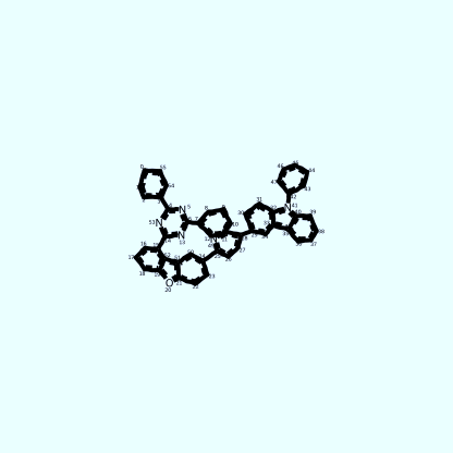 c1ccc(-c2nc(-c3ccccc3)nc(-c3cccc4oc5ccc(-c6ccc(-c7ccc8c(c7)c7ccccc7n8-c7ccccc7)cn6)cc5c34)n2)cc1